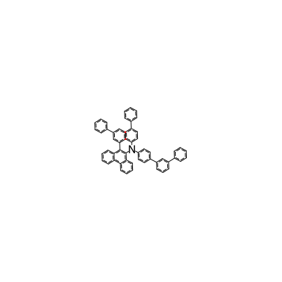 c1ccc(-c2ccc(N(c3ccc(-c4cccc(-c5ccccc5)c4)cc3)c3c(-c4cccc(-c5ccccc5)c4)c4ccccc4c4ccccc34)cc2)cc1